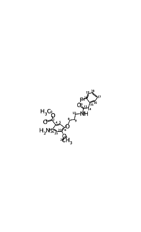 COC(=O)c1cc(OCCCNC(=O)Cc2ccccc2F)c(OC)cc1N